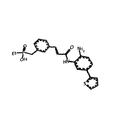 CCP(=O)(O)Cc1cccc(/C=C/C(=O)Nc2cc(-c3cccs3)ccc2N)c1